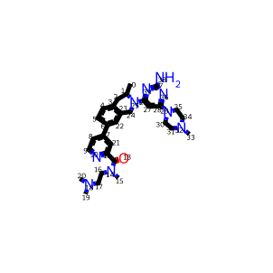 CC1Cc2ccc(-c3ccnc(C(=O)N(C)CCN(C)C)c3)cc2CN1c1cc(N2CCN(C)CC2)nc(N)n1